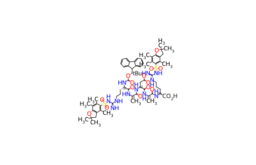 Cc1c(C)c(S(=O)(=O)NC(=N)NCCC[C@H](NC(=O)[C@H](C)NC(=O)[C@H](CC(=O)OC(C)(C)C)NC(=O)[C@H](C)NC(=O)[C@H](CCCNC(=N)NS(=O)(=O)c2c(C)c(C)c3c(c2C)CC(C)(C)O3)NC(=O)OCC2c3ccccc3-c3ccccc32)C(=O)O)c(C)c2c1OC(C)(C)C2